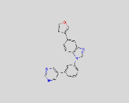 c1cc(-c2cncnc2)cc(-n2cnc3cc(-c4ccoc4)ccc32)c1